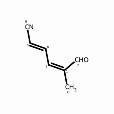 C/C(C=O)=C/C=C/C#N